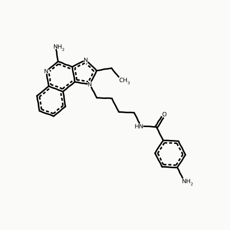 CCc1nc2c(N)nc3ccccc3c2n1CCCCNC(=O)c1ccc(N)cc1